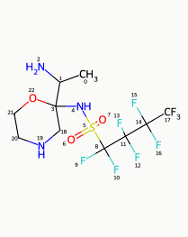 CC(N)C1(NS(=O)(=O)C(F)(F)C(F)(F)C(F)(F)C(F)(F)F)CNCCO1